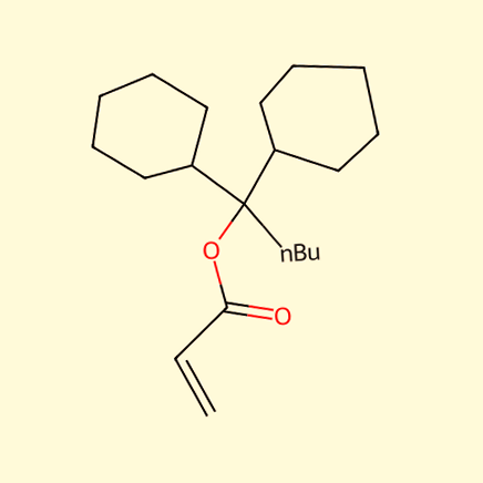 C=CC(=O)OC(CCCC)(C1CCCCC1)C1CCCCC1